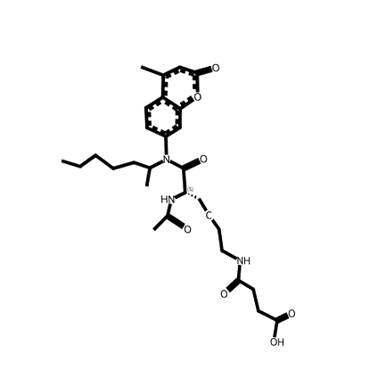 CCCCCC(C)N(C(=O)[C@H](CCCCNC(=O)CCC(=O)O)NC(C)=O)c1ccc2c(C)cc(=O)oc2c1